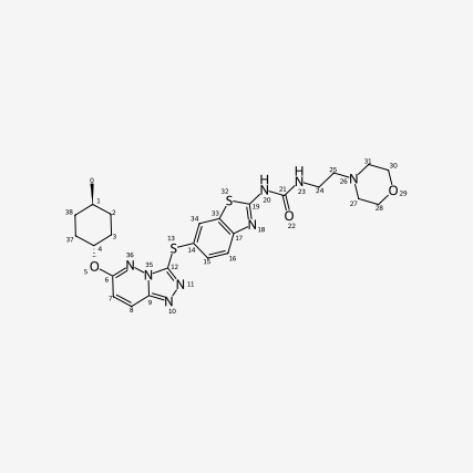 C[C@H]1CC[C@H](Oc2ccc3nnc(Sc4ccc5nc(NC(=O)NCCN6CCOCC6)sc5c4)n3n2)CC1